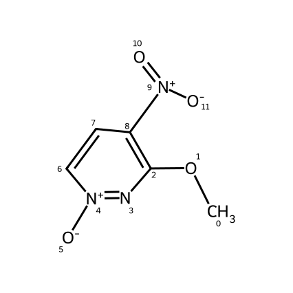 COc1n[n+]([O-])ccc1[N+](=O)[O-]